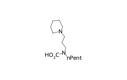 CCCCCN(CCCN1CCCCC1)C(=O)O